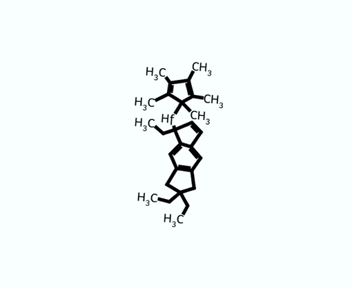 CCC1(CC)Cc2cc3c(cc2C1)[C](CC)([Hf][C]1(C)C(C)=C(C)C(C)=C1C)C=C3